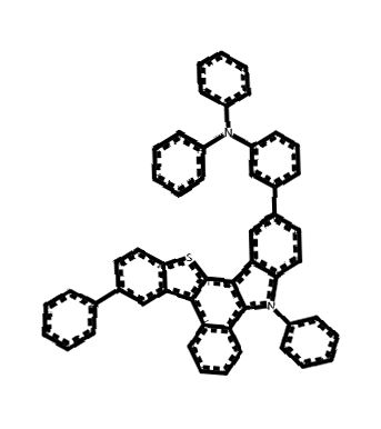 c1ccc(-c2ccc3sc4c(c3c2)c2ccccc2c2c4c3cc(-c4cccc(N(c5ccccc5)c5ccccc5)c4)ccc3n2-c2ccccc2)cc1